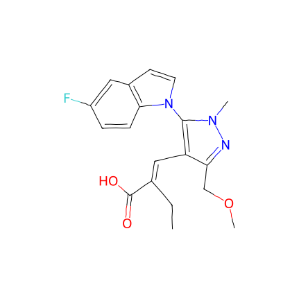 CCC(=Cc1c(COC)nn(C)c1-n1ccc2cc(F)ccc21)C(=O)O